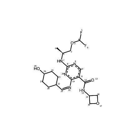 C[C@@H](COC(F)F)Nc1ncc(C(=O)NC2COC2)c(/N=C\C2CCC(O)CC2)n1